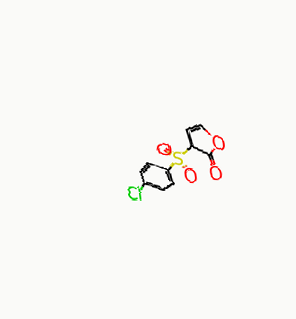 O=C1OC=CC1S(=O)(=O)c1ccc(Cl)cc1